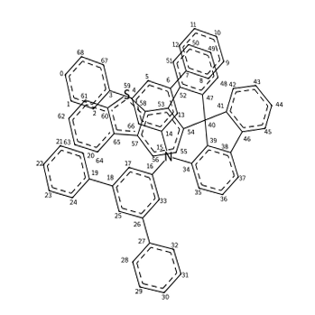 c1ccc(-c2cc(-c3ccccc3)cc(N(c3cc(-c4ccccc4)cc(-c4ccccc4)c3)c3cccc4c3C3(c5ccccc5-4)c4ccccc4-c4c3ccc3c4sc4ccccc43)c2)cc1